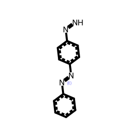 N=Nc1ccc(/N=N/c2ccccc2)cc1